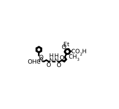 CCOc1cc(C(=O)O)c(C)c(-c2ccc(C(=O)NCNC(=O)CCN(C=O)OCc3ccccc3)o2)c1